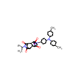 Cc1ccc(N(c2ccc(C)cc2)c2ccc(-n3c(=O)c4ccc(c3=O)c3c5ccc(c(=O)n(C(C)C(C)C)c5=O)c43)cc2)cc1